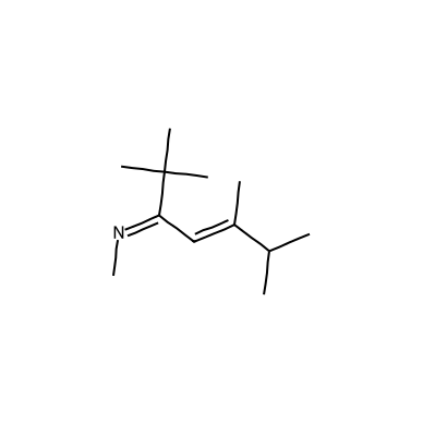 C/N=C(\C=C(/C)C(C)C)C(C)(C)C